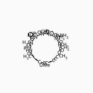 COC1CC=CC=C(C)C(=O)NC(C(C)C)C(=O)N(C)C(Cc2ccccc2)C(=O)N(C)C(C(C)C)C(=O)N(C)C(C(C)C)C(=O)N2CCCC2C(=O)N(C)C(CC(N)=O)C(=O)N(C)C(C)C(=O)OC(C)CCCC=CCC1